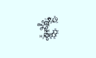 CC[C@H](C)C(NC(=O)[C@H](CC(C)C)NC(=O)CN1CCOCC1)C(=O)C(=O)NCC(=O)N[C@@H](Cc1ccc2ccccc2c1)C(N)=O